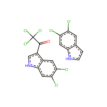 Clc1cc2cc[nH]c2cc1Cl.O=C(c1c[nH]c2cc(Cl)c(Cl)cc12)C(Cl)(Cl)Cl